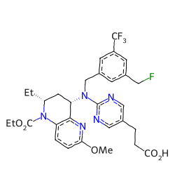 CCOC(=O)N1c2ccc(OC)nc2[C@@H](N(Cc2cc(CF)cc(C(F)(F)F)c2)c2ncc(CCC(=O)O)cn2)C[C@H]1CC